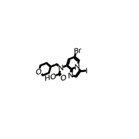 O=C(O)N(CC1CCOCC1)c1cc(Br)cn2c(I)cnc12